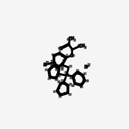 CC(=O)C(C)Oc1ccc(Br)cc1C[P+](c1ccccc1)(c1ccccc1)c1ccccc1.[Br-]